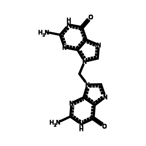 Nc1nc2c(ncn2Cn2cnc3c(=O)[nH]c(N)nc32)c(=O)[nH]1